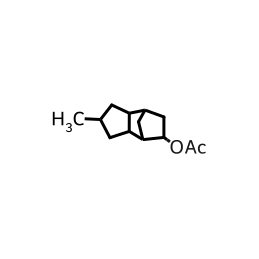 CC(=O)OC1CC2CC1C1CC(C)CC21